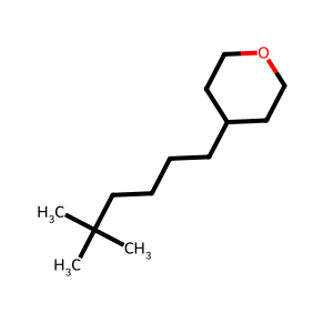 CC(C)(C)CCCCC1CCOCC1